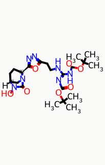 CC(C)(C)OC(=O)N=C(NCCc1nnc([C@@H]2CC[C@@H]3CN2C(=O)N3O)o1)NC(=O)OC(C)(C)C